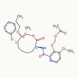 CCCO[C@H]1[C@H](C)OC(=O)[C@@H](NC(=O)c2nccc(OC)c2OCOC(C)=O)CCCC[C@@H]1Oc1ccccc1